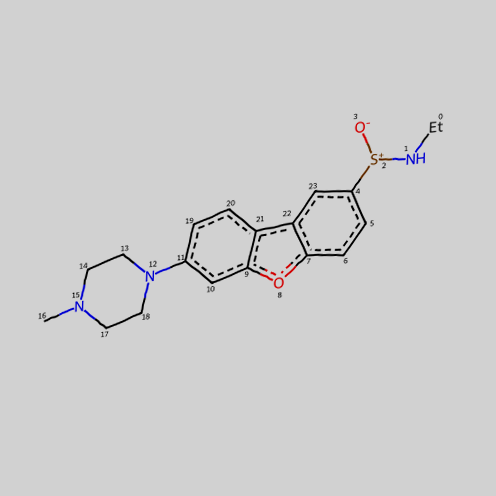 CCN[S+]([O-])c1ccc2oc3cc(N4CCN(C)CC4)ccc3c2c1